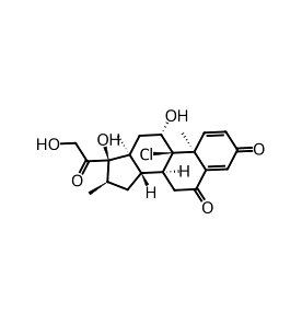 C[C@@H]1C[C@H]2[C@@H]3CC(=O)C4=CC(=O)C=C[C@]4(C)[C@@]3(Cl)[C@@H](O)C[C@]2(C)[C@@]1(O)C(=O)CO